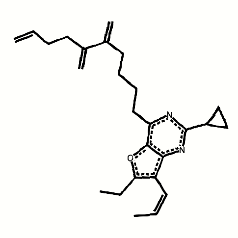 C=CCCC(=C)C(=C)CCCCc1nc(C2CC2)nc2c(/C=C\C)c(CC)oc12